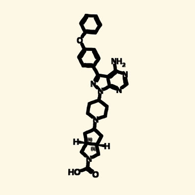 Nc1ncnc2c1c(-c1ccc(Oc3ccccc3)cc1)nn2C1CCN(C2C[C@@H]3CN(C(=O)O)C[C@@H]3C2)CC1